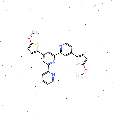 COc1ccc(-c2ccnc(-c3cc(-c4ccc(OC)s4)cc(-c4ccccn4)n3)c2)s1